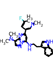 C=N/C=C(\C=C(/C)F)c1cc(NCCc2c[nH]c3ccccc23)n2ncc(N(C)C)c2n1